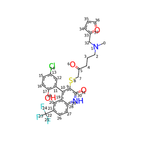 CN(CCCC(=O)CSc1c(-c2cc(Cl)ccc2O)c2cc(C(F)(F)F)ccc2[nH]c1=O)Cc1ccco1